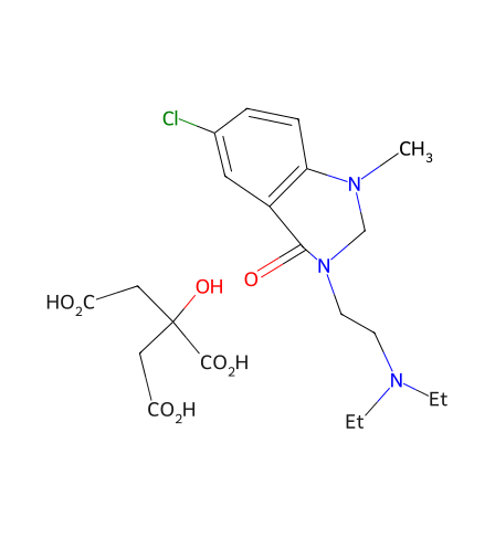 CCN(CC)CCN1CN(C)c2ccc(Cl)cc2C1=O.O=C(O)CC(O)(CC(=O)O)C(=O)O